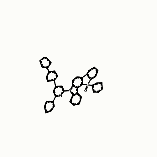 O=P1(c2ccccc2)c2ccccc2-c2ccc3c(c21)c1ccccc1n3-c1cc(-c2ccc(-c3ccccc3)cc2)cc(-c2ccccc2)n1